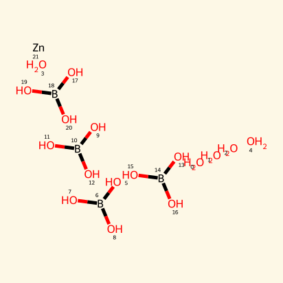 O.O.O.O.O.OB(O)O.OB(O)O.OB(O)O.OB(O)O.[Zn]